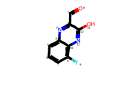 O=Cc1nc2cccc(F)c2nc1O